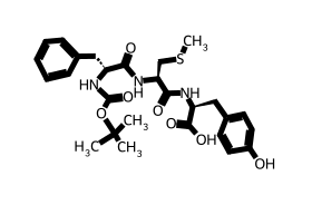 CSC[C@H](NC(=O)[C@@H](Cc1ccccc1)NC(=O)OC(C)(C)C)C(=O)N[C@@H](Cc1ccc(O)cc1)C(=O)O